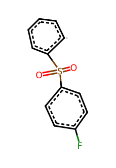 O=S(=O)(c1[c]cccc1)c1ccc(F)cc1